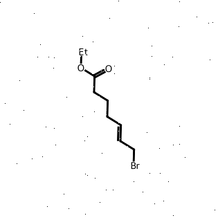 CCOC(=O)CCC/C=C/CBr